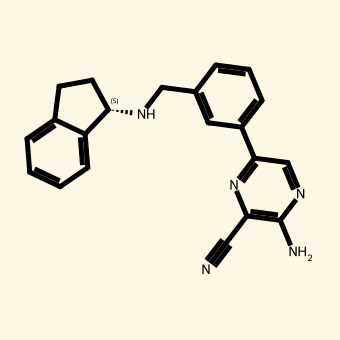 N#Cc1nc(-c2cccc(CN[C@H]3CCc4ccccc43)c2)cnc1N